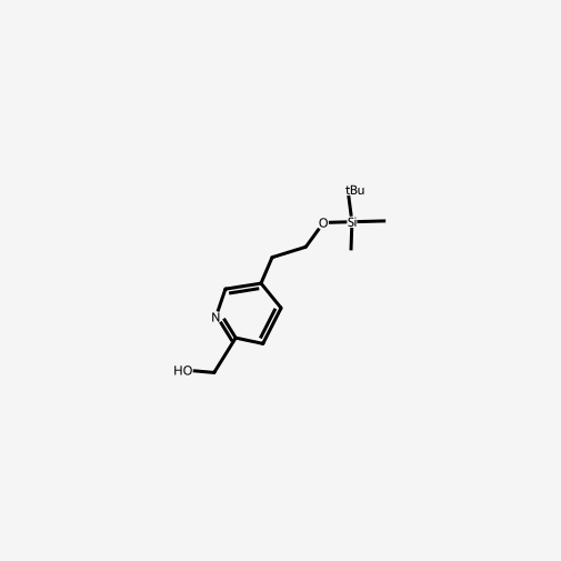 CC(C)(C)[Si](C)(C)OCCc1ccc(CO)nc1